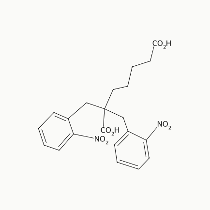 O=C(O)CCCCC(Cc1ccccc1[N+](=O)[O-])(Cc1ccccc1[N+](=O)[O-])C(=O)O